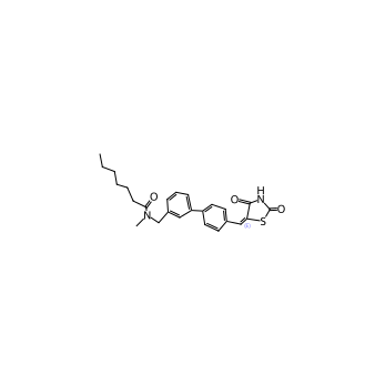 CCCCCCC(=O)N(C)Cc1cccc(-c2ccc(/C=C3/SC(=O)NC3=O)cc2)c1